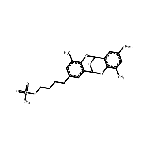 CCCCCc1cc(C)c2c(c1)C1Oc3c(C)cc(CCCCOS(C)(=O)=O)cc3C(O2)O1